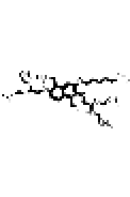 CCCCCCOc1cc2c(CC)c(SCC(OCC)OCC)ccc2c(CC)c1SCC(OCC)OCC